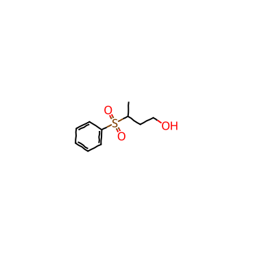 CC(CCO)S(=O)(=O)c1ccccc1